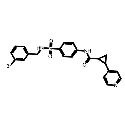 O=C(Nc1ccc(S(=O)(=O)NCc2cccc(Br)c2)cc1)C1CC1c1ccncc1